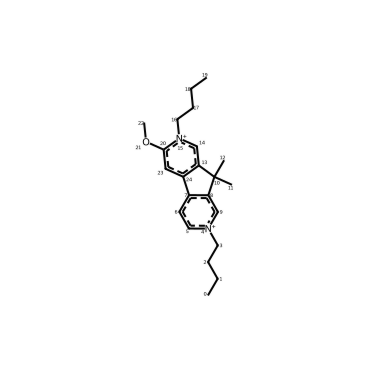 CCCC[n+]1ccc2c(c1)C(C)(C)c1c[n+](CCCC)c(OC)cc1-2